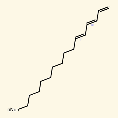 [CH]=C/C=C/C=C/CCCCCCCCCCCCCCCCCC